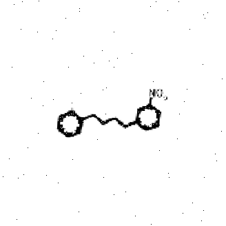 O=[N+]([O-])c1cccc(CCCCc2[c]cccc2)c1